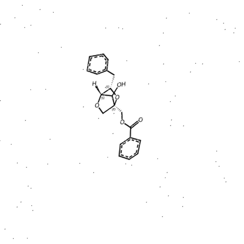 O=C(OC[C@]12CO[C@@H](C1O)[C@H](Cc1ccccc1)O2)c1ccccc1